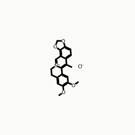 COc1cc2c(cc1OC)-c1c(C)c3ccc4c(c3c[n+]1CC2)OCO4.[Cl-]